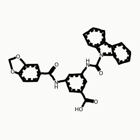 O=C(O)c1cc(NC(=O)c2ccc3c(c2)OCO3)cc(NC(=O)n2c3ccccc3c3ccccc32)c1